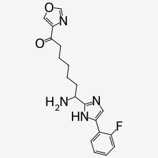 NC(CCCCCC(=O)c1cocn1)c1ncc(-c2ccccc2F)[nH]1